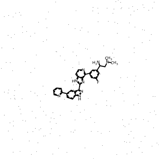 CN(C)CC(N)c1cc(F)cc(-c2nccc3[nH]c(-c4n[nH]c5ccc(-c6ccccn6)cc45)nc23)c1